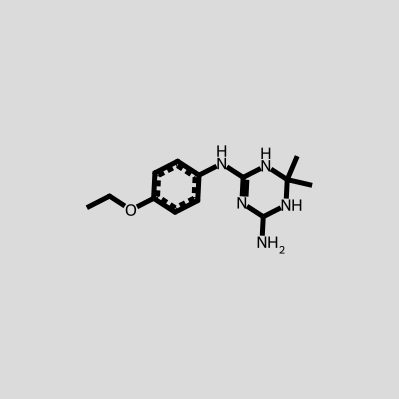 CCOc1ccc(NC2=NC(N)NC(C)(C)N2)cc1